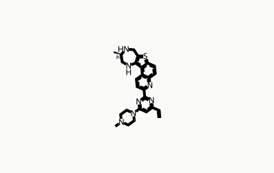 C=Cc1cc(N2CCN(C)CC2)nc(-c2ccc3c(ccc4sc5c(c43)NC[C@@H](C)NC5)n2)n1